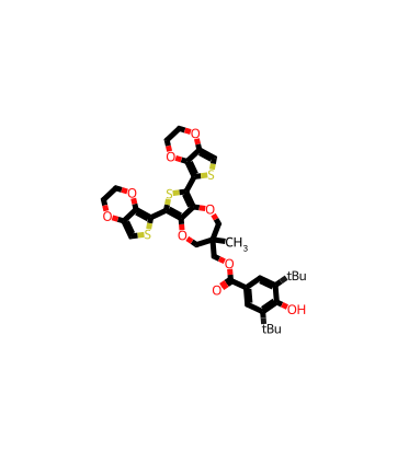 CC1(COC(=O)c2cc(C(C)(C)C)c(O)c(C(C)(C)C)c2)COc2c(-c3scc4c3OCCO4)sc(-c3scc4c3OCCO4)c2OC1